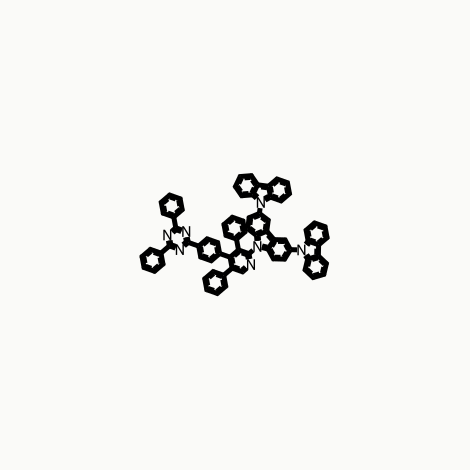 c1ccc(-c2nc(-c3ccccc3)nc(-c3ccc(-c4c(-c5ccccc5)cnc(-n5c6ccc(-n7c8ccccc8c8ccccc87)cc6c6cc(-n7c8ccccc8c8ccccc87)ccc65)c4-c4ccccc4)cc3)n2)cc1